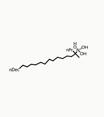 CCCCCCCCCCCCCCCCCCCCCCC(C)(CCC)[N+](O)(O)O